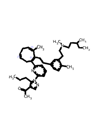 CCCc1c(C(C)=O)cnn1-c1cccc(/C2=C(CCc3ccc(C)c(CCN(C)CCC(C)CC)c3)/C(C)=C\C/C=C\C2)n1